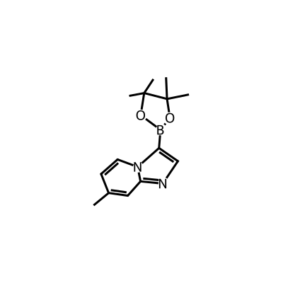 Cc1ccn2c(B3OC(C)(C)C(C)(C)O3)cnc2c1